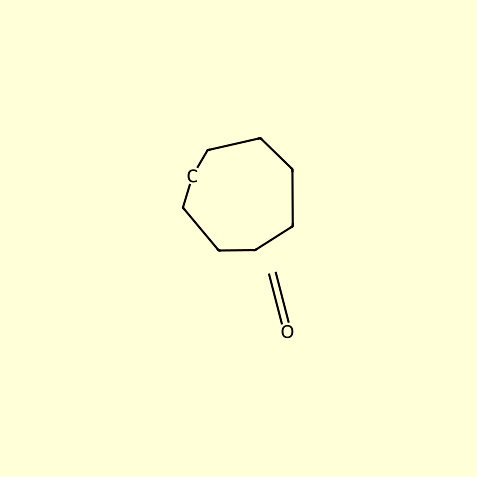 C1CCCCCCC1.C=O